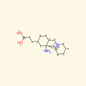 N[C@]1(C(=O)O)CC(CCB(O)O)CCC1CN1CCCCC1